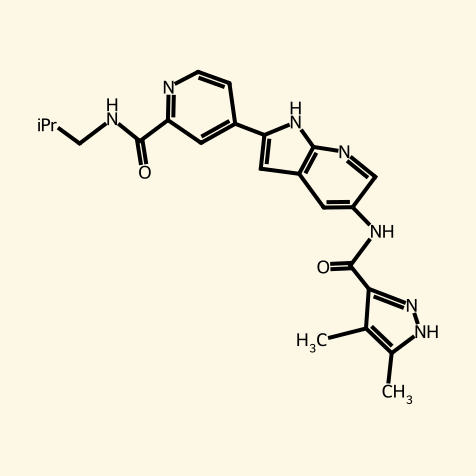 Cc1[nH]nc(C(=O)Nc2cnc3[nH]c(-c4ccnc(C(=O)NCC(C)C)c4)cc3c2)c1C